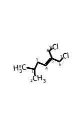 CC(C)CC=C(CCl)CCl